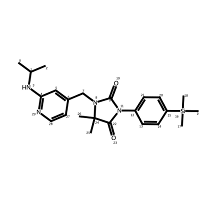 CC(C)Nc1cc(CN2C(=O)N(c3ccc([Si](C)(C)C)cc3)C(=O)C2(C)C)ccn1